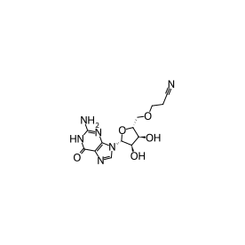 N#CCCOC[C@H]1O[C@@H](n2cnc3c(=O)[nH]c(N)nc32)[C@H](O)[C@@H]1O